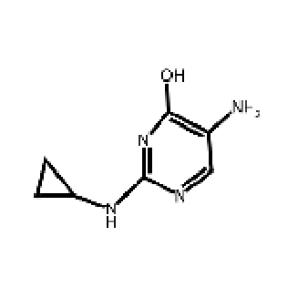 Nc1cnc(NC2CC2)nc1O